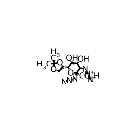 CC1(C)OC[C@H](C2O[C@](N=[N+]=[N-])(C(=O)O)C(N=[N+]=[N-])C(O)[C@H]2O)O1